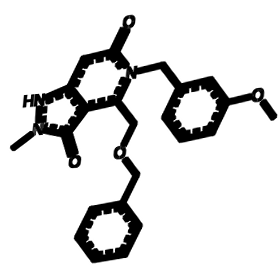 COc1cccc(Cn2c(COCc3ccccc3)c3c(=O)n(C)[nH]c3cc2=O)c1